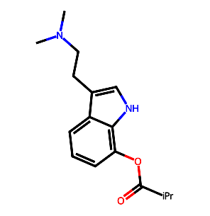 CC(C)C(=O)Oc1cccc2c(CCN(C)C)c[nH]c12